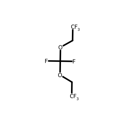 FC(F)(F)COC(F)(F)OCC(F)(F)F